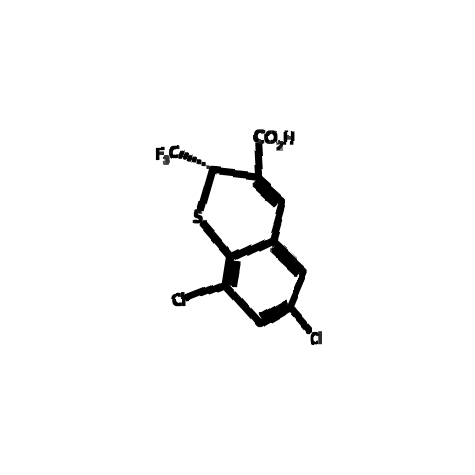 O=C(O)C1=Cc2cc(Cl)cc(Cl)c2S[C@@H]1C(F)(F)F